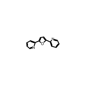 c1ccc(-c2ccc(-c3ccccn3)o2)nc1